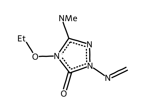 C=Nn1nc(NC)n(OCC)c1=O